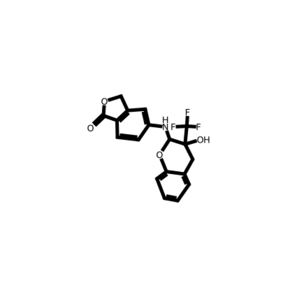 O=C1OCc2cc(NC3Oc4ccccc4CC3(O)C(F)(F)F)ccc21